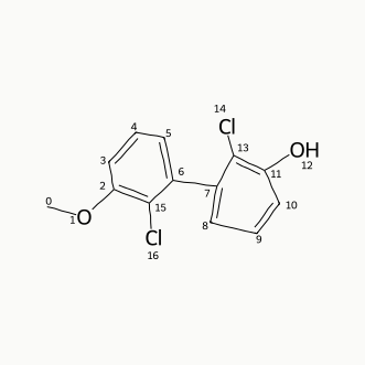 COc1cccc(-c2cccc(O)c2Cl)c1Cl